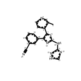 Cc1cnccc1-c1sc(Nc2nc[nH]n2)nc1-c1cccc(C#N)c1